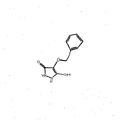 O=c1[nH][nH]c(O)c1OCc1ccccc1